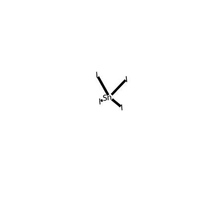 [I][Sn]([I])([I])[I]